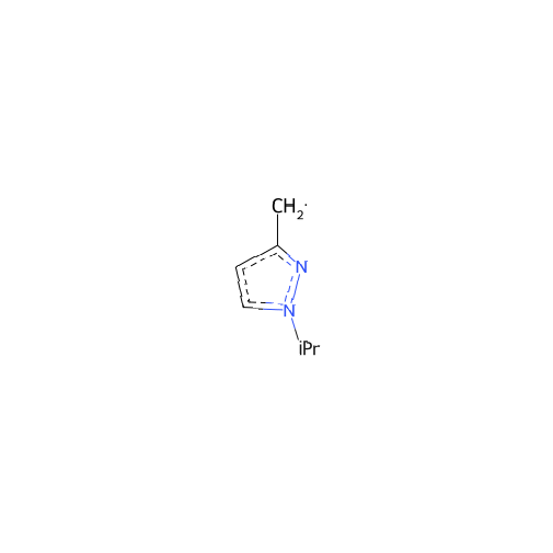 [CH2]c1ccn(C(C)C)n1